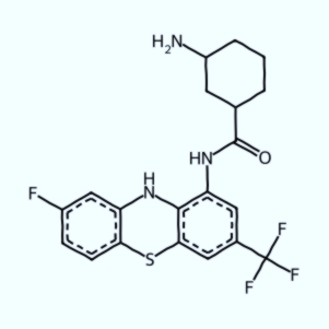 NC1CCCC(C(=O)Nc2cc(C(F)(F)F)cc3c2Nc2cc(F)ccc2S3)C1